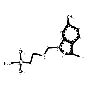 Cc1ccc2c(I)nn(COCC[Si](C)(C)C)c2c1